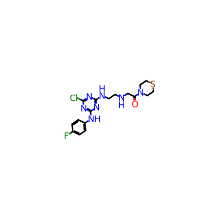 O=C(CNCCNc1nc(Cl)nc(Nc2ccc(F)cc2)n1)N1CCSCC1